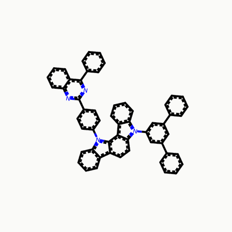 c1ccc(-c2cc(-c3ccccc3)cc(-n3c4ccccc4c4c3ccc3c5ccccc5n(-c5ccc(-c6nc(-c7ccccc7)c7ccccc7n6)cc5)c34)c2)cc1